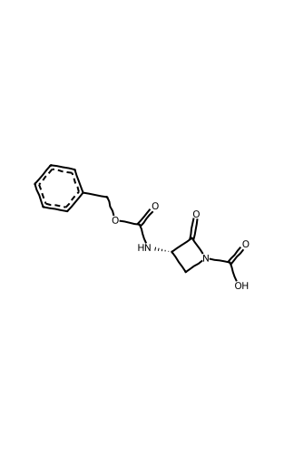 O=C(N[C@H]1CN(C(=O)O)C1=O)OCc1ccccc1